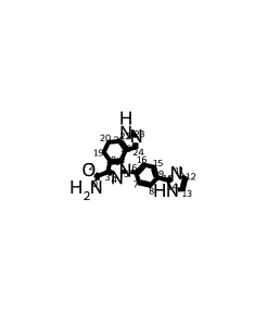 NC(=O)c1nn(-c2ccc(-c3ncc[nH]3)cc2)c2c1CCc1[nH]ncc1-2